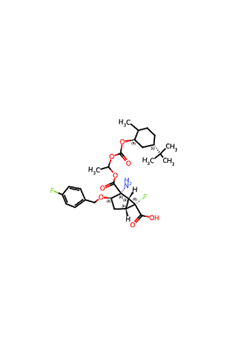 CC(OC(=O)O[C@@H]1C[C@@H](C(C)(C)C)CCC1C)OC(=O)[C@@]1(N)[C@H]2[C@@H](C[C@H]1OCc1ccc(F)cc1)[C@]2(F)C(=O)O